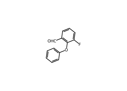 O=Cc1cccc(F)c1Oc1ccccc1